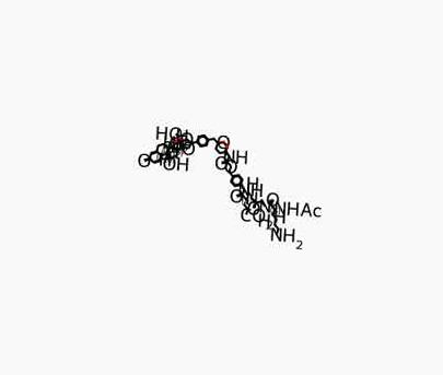 CC(=O)N[C@@H](CCCCN)C(=O)NCC(=O)N[C@@H](CCC(=O)O)C(=O)Nc1ccc(COC(=O)NC23CCC(Cc4ccc(C5O[C@@H]6C[C@H]7[C@@H]8CCC9=CC(=O)C=C[C@]9(C)[C@H]8[C@@H](O)C[C@]7(C)[C@]6(C(=O)CO)O5)cc4)(CC2)OC3)cc1